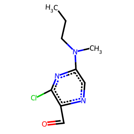 CCCN(C)c1cnc(C=O)c(Cl)n1